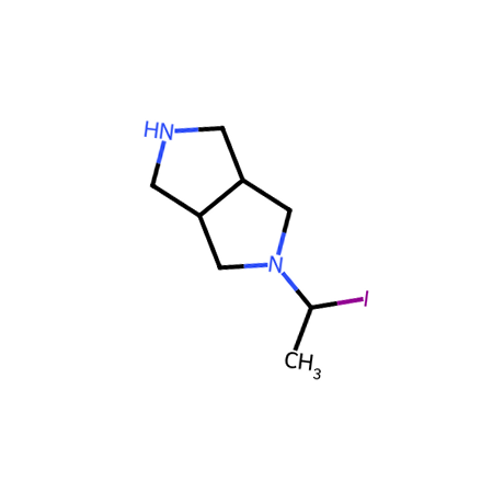 CC(I)N1CC2CNCC2C1